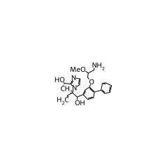 C=CC(C(O)c1ccc(-c2ccccc2)c(OCC(CN)OC)c1)n1ccnc1[C@H](C)O